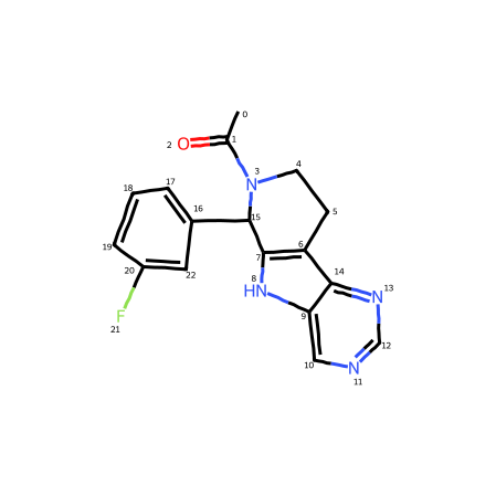 CC(=O)N1CCc2c([nH]c3cncnc23)C1c1cccc(F)c1